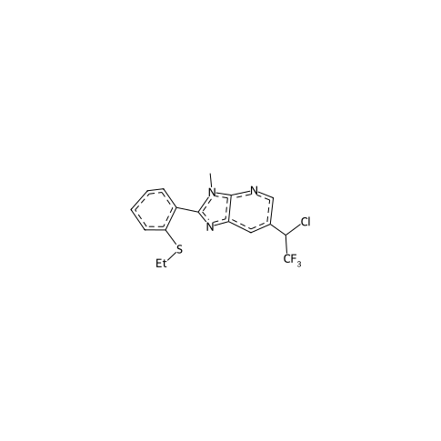 CCSc1ccccc1-c1nc2cc(C(Cl)C(F)(F)F)cnc2n1C